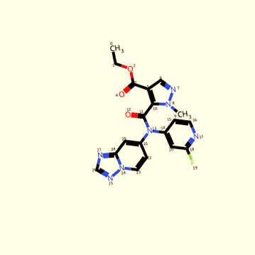 CCOC(=O)c1cnn(C)c1C(=O)N(c1ccnc(F)c1)c1ccn2ncnc2c1